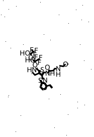 C=Cc1cccc2sc(-c3c(NC(=O)CCNCCOC)sc4c3CCNC4)nc12.O=C(O)C(F)(F)F.O=C(O)C(F)(F)F